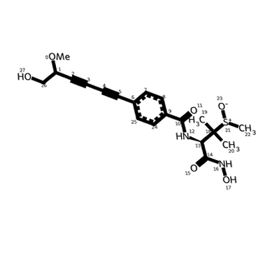 COC(C#CC#Cc1ccc(C(=O)N[C@H](C(=O)NO)C(C)(C)[S+](C)[O-])cc1)CO